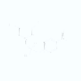 O=[N+]([O-])c1ccc(OP(=O)(O)ON(CCO)CCO)cc1